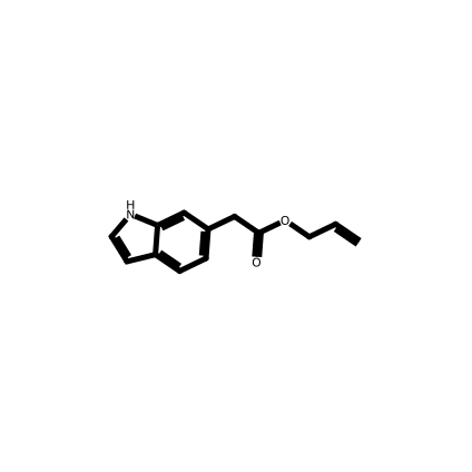 C=CCOC(=O)Cc1ccc2cc[nH]c2c1